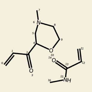 C=CC(=O)C1CN(C)CCO1.C=CC(=O)NC